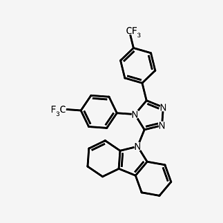 FC(F)(F)c1ccc(-c2nnc(-n3c4c(c5c3C=CCC5)CCC=C4)n2-c2ccc(C(F)(F)F)cc2)cc1